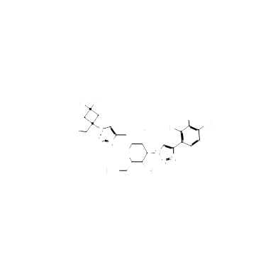 CO[C@@H]1[C@@H](n2cc(-c3ccc(Cl)c(F)c3F)nn2)[C@@H](O)[C@@H](CO)O[C@@H]1Cc1cn(C2(CO)CC(F)(F)C2)nn1